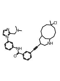 CN(C)Cc1nccn1-c1cccc(NC(=O)c2cccc(C#CC3CNC4CCCC(C)(Cl)CCCC(C3)C4)c2)c1